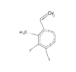 C=Cc1ccc(I)c(I)c1C